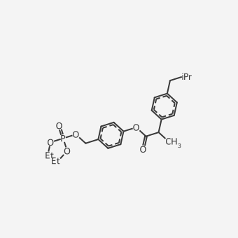 CCOP(=O)(OCC)OCc1ccc(OC(=O)C(C)c2ccc(CC(C)C)cc2)cc1